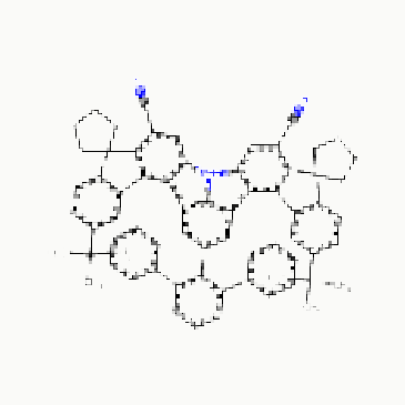 CC(C)(C)c1ccc2c(c1)-c1c(c(C#N)cc3c1c1cc(-c4c(-c5ccccc5)cccc4-c4ccccc4)cc4c5c6c(c(C#N)cc5n3c14)C1(CCCC1)c1ccc(C(C)(C)C)cc1-6)C21CCCC1